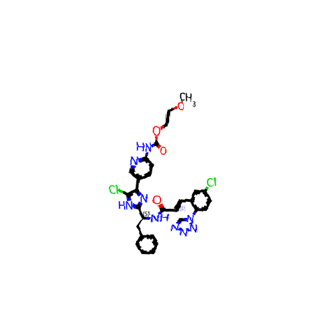 COCCOC(=O)Nc1ccc(-c2nc([C@H](Cc3ccccc3)NC(=O)/C=C/c3cc(Cl)ccc3-n3cnnn3)[nH]c2Cl)cn1